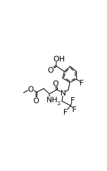 COC(=O)CC(N)C(=O)N(Cc1cc(C(=O)O)ccc1F)CC(F)(F)F